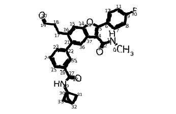 CNC(=O)c1c(-c2ccc(F)cc2)oc2cc(CCC=O)c(-c3cccc(C(=O)NC45CC(C4)C5)c3)cc12